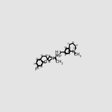 C=C(NSCc1ccc2c(c1)CCCCN2C)N1CC2(CCc3ccc(F)cc3O2)C1